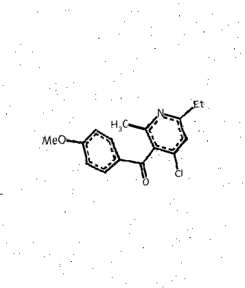 CCc1cc(Cl)c(C(=O)c2ccc(OC)cc2)c(C)n1